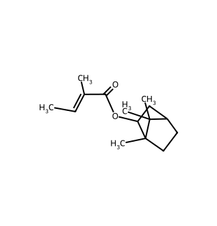 CC=C(C)C(=O)OC1CC2CCC1(C)C2(C)C